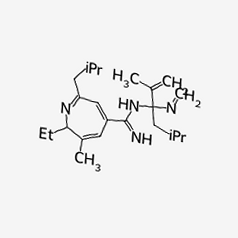 C=NC(CC(C)C)(NC(=N)C1=CC(CC(C)C)=NC(CC)C(C)=C1)C(=C)C